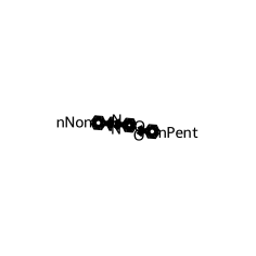 CCCCCCCCCC1CCC(c2cnc(-c3ccc(OC(=O)C4CCC(CCCCC)CC4)cc3)nc2)CC1